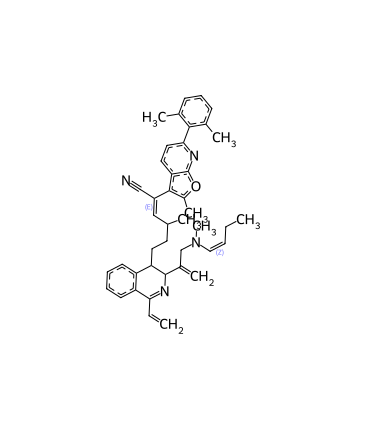 C=CC1=NC(C(=C)CN(C)/C=C\CC)C(CCC(C)/C=C(/C#N)c2c(C)oc3nc(-c4c(C)cccc4C)ccc23)c2ccccc21